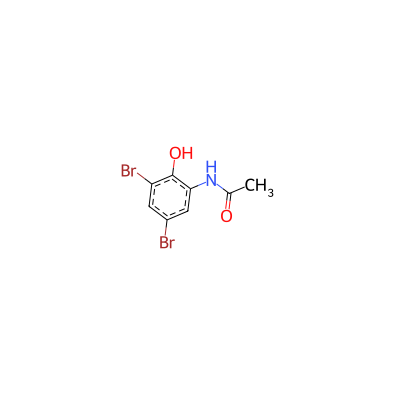 CC(=O)Nc1cc(Br)cc(Br)c1O